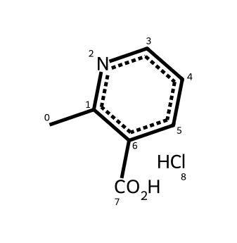 Cc1ncccc1C(=O)O.Cl